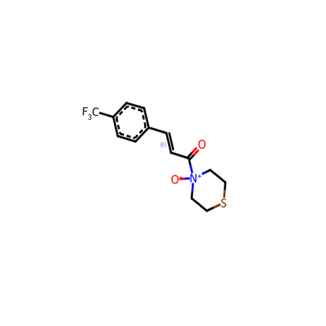 O=C(/C=C/c1ccc(C(F)(F)F)cc1)[N+]1([O-])CCSCC1